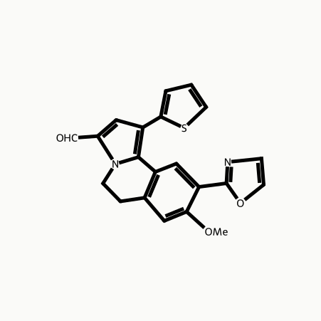 COc1cc2c(cc1-c1ncco1)-c1c(-c3cccs3)cc(C=O)n1CC2